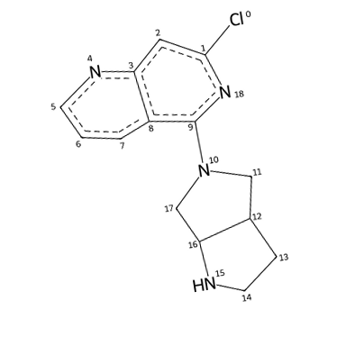 Clc1cc2ncccc2c(N2CC3CCNC3C2)n1